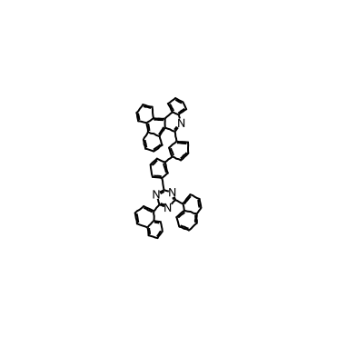 c1cc(-c2cccc(-c3nc4ccccc4c4c5ccccc5c5ccccc5c34)c2)cc(-c2nc(-c3cccc4ccccc34)nc(-c3cccc4ccccc34)n2)c1